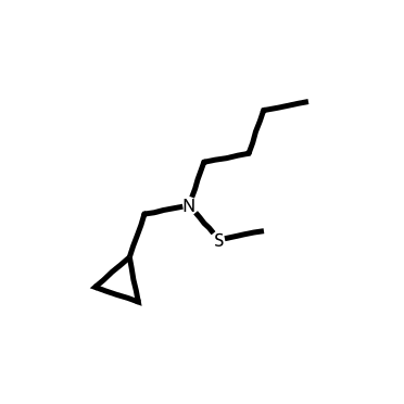 CCCCN(CC1CC1)SC